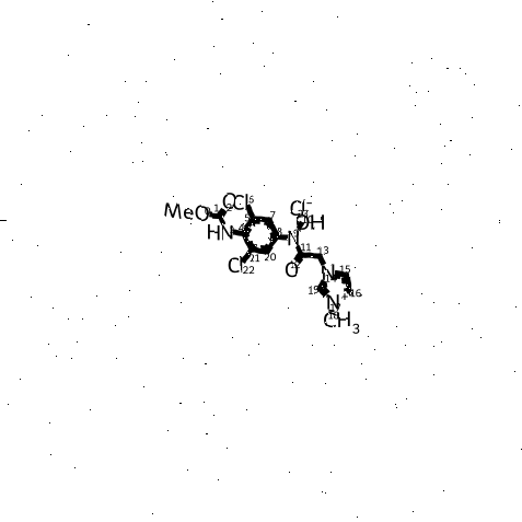 COC(=O)Nc1c(Cl)cc(N(O)C(=O)Cn2cc[n+](C)c2)cc1Cl.[Cl-]